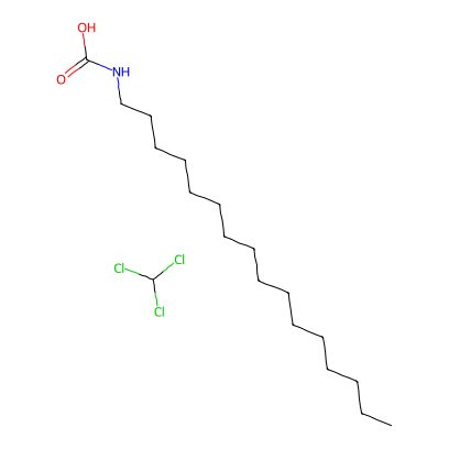 CCCCCCCCCCCCCCCCNC(=O)O.ClC(Cl)Cl